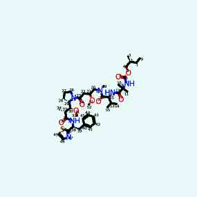 CC[C@H](C)COC(=O)NC(C)(C)C(=O)NC(C(=O)N(C)CC(CC(=O)N1CCC[C@H]1[C@H](OC)[C@@H](C)C(=O)N[C@@H](Cc1ccccc1)c1nccs1)OC)C(C)C